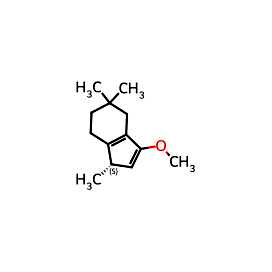 COC1=C[C@H](C)C2=C1CC(C)(C)CC2